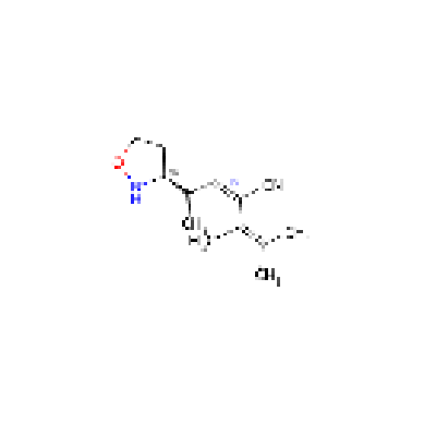 C=C(/C=C(/C#N)C(C)=C(C)C)[C@@H]1CCON1